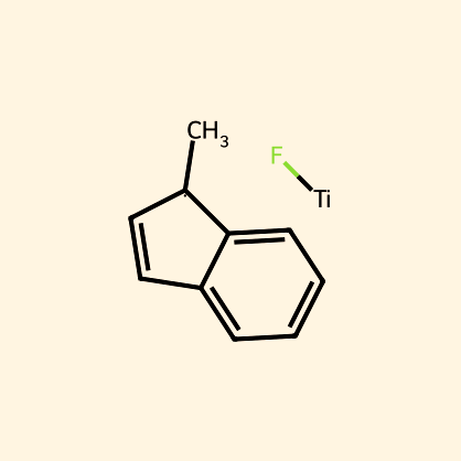 C[C]1C=Cc2ccccc21.[F][Ti]